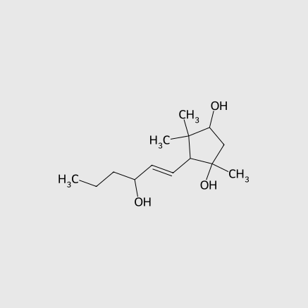 CCCC(O)C=CC1C(C)(O)CC(O)C1(C)C